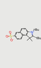 CCCC[N+]1=C(C(C)(C)C)C(C)(C)c2c1ccc1cc(S(=O)(=O)[O-])ccc21